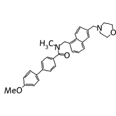 COc1ccc(-c2ccc(C(=O)N(C)Cc3cccc4cc(CN5CCOCC5)ccc34)cc2)cc1